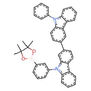 CC1(C)OB(c2cccc(-n3c4ccccc4c4ccc(-c5ccc6c(c5)c5ccccc5n6-c5ccccc5)cc43)c2)OC1(C)C